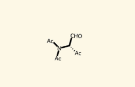 CC(=O)[C@@H](C=O)N(C(C)=O)C(C)=O